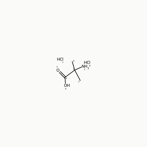 CC(C)(N)C(=O)O.Cl.Cl